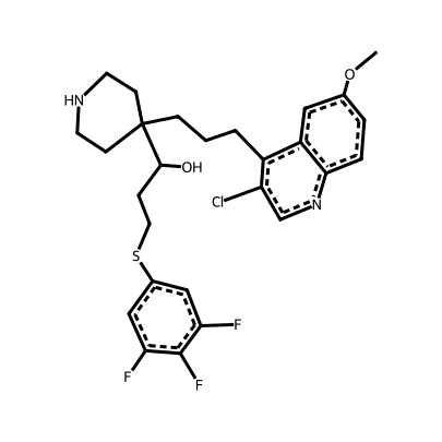 COc1ccc2ncc(Cl)c(CCCC3(C(O)CCSc4cc(F)c(F)c(F)c4)CCNCC3)c2c1